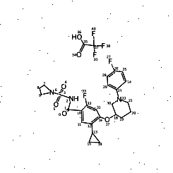 O=C(NS(=O)(=O)N1CCC1)c1cc(C2CC2)c(OC2CCCN(c3ccc(F)cc3)C2)cc1F.O=C(O)C(F)(F)F